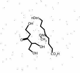 CCCCCCCCCCCCCCCCCC(=O)O.COC.O=C(CCO)C(CO)CO